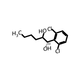 CCCCC(O)[C@@H](O)c1c(Cl)cccc1Cl